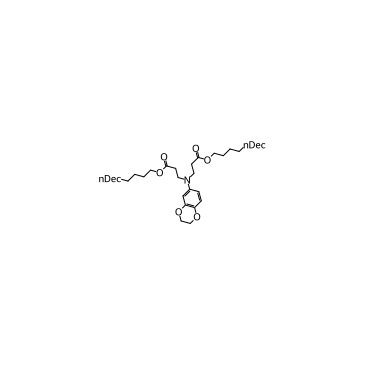 CCCCCCCCCCCCCCOC(=O)CCN(CCC(=O)OCCCCCCCCCCCCCC)c1ccc2c(c1)OCCO2